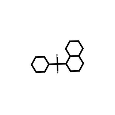 FC(F)(C1CCCCC1)C1CCCC2CCCCC21